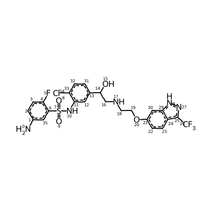 Nc1ccc(F)c(S(=O)(=O)Nc2cc(C(O)CNCCOc3ccc4c(C(F)(F)F)n[nH]c4c3)ccc2Cl)c1